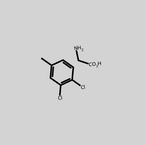 Cc1ccc(Cl)c(Cl)c1.NCC(=O)O